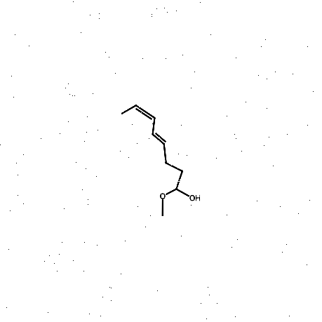 C/C=C\C=C\CCC(O)OC